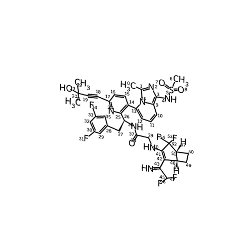 Cc1nc(NS(C)(=O)=O)c2cccc(-c3ccc(C#CC(C)(C)O)nc3[C@H](Cc3cc(F)cc(F)c3)NC(=O)CNC3=C(C(=N)C(F)F)[C@H]4CC[C@H]4C3(F)F)n12